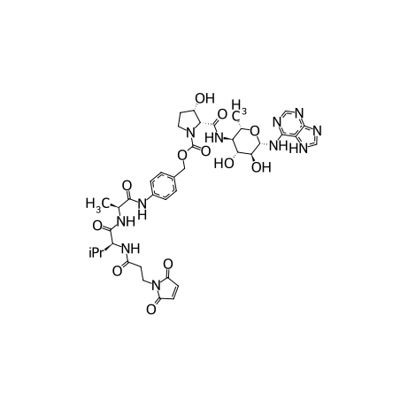 CC(C)[C@H](NC(=O)CCN1C(=O)C=CC1=O)C(=O)N[C@@H](C)C(=O)Nc1ccc(COC(=O)N2CC[C@H](O)[C@@H]2C(=O)N[C@@H]2[C@@H](O)[C@H](O)[C@@H](Nc3ncnc4nc[nH]c34)O[C@H]2C)cc1